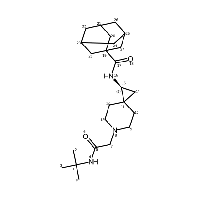 CC(C)(C)NC(=O)CN1CCC2(CC1)C[C@@H]2NC(=O)C12CC3CC(CC(C3)C1)C2